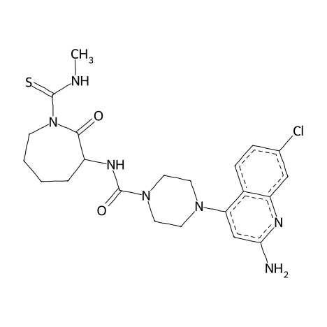 CNC(=S)N1CCCCC(NC(=O)N2CCN(c3cc(N)nc4cc(Cl)ccc34)CC2)C1=O